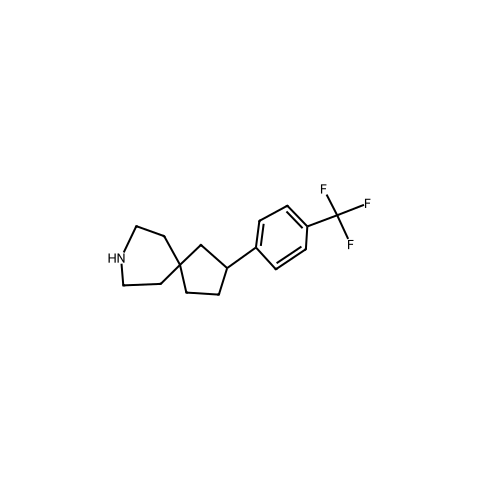 FC(F)(F)c1ccc(C2CCC3(CCNCC3)C2)cc1